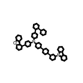 c1ccc(-c2ccccc2-c2ccc(N(c3ccc(-c4ccc(-c5cccc(-n6c7ccccc7c7ccccc76)c5)cc4)cc3)c3ccc(-c4cccc5oc6ccccc6c45)cc3)cc2)cc1